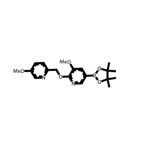 COc1ccc(COc2ncc(B3OC(C)(C)C(C)(C)O3)cc2OC)nc1